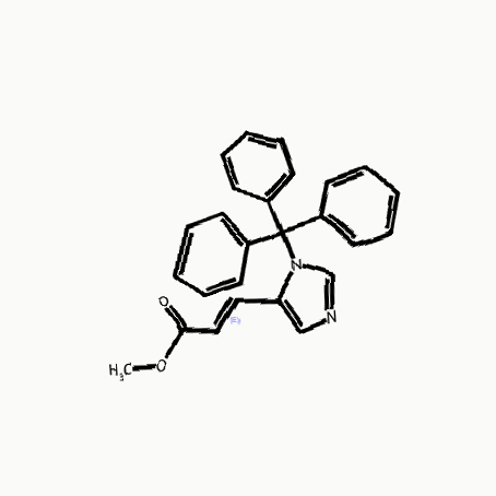 COC(=O)/C=C/c1cncn1C(c1ccccc1)(c1ccccc1)c1ccccc1